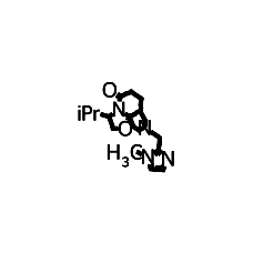 CC(C)C1COC23CCN(Cc4nccn4C)CC2CCC(=O)N13